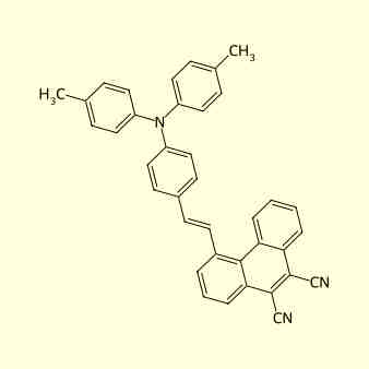 Cc1ccc(N(c2ccc(C)cc2)c2ccc(C=Cc3cccc4c(C#N)c(C#N)c5ccccc5c34)cc2)cc1